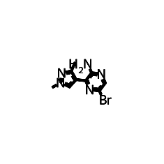 Cc1nn(C)cc1-c1nc(Br)cnc1N